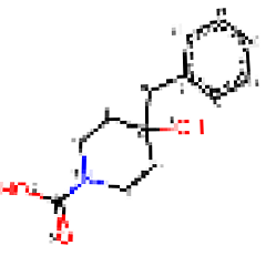 O=C(O)N1CCC(O)(Cc2ccccc2)CC1